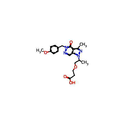 COc1ccc(Cn2ncc3c(c(C)nn3C(C)COCCC(=O)O)c2=O)cc1